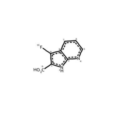 O=C(O)c1[nH]c2ncccc2c1F